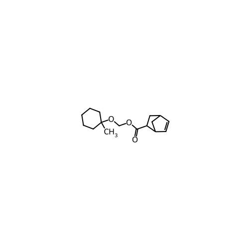 CC1(OCOC(=O)C2CC3C=CC2C3)CCCCC1